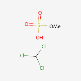 COS(=O)(=O)O.ClC(Cl)Cl